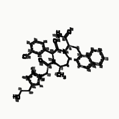 CC1CCN(C(Cc2cccc3ccccc23)C(N)=O)C(=O)C(c2cccc(Cl)c2)N1C(=O)Cn1cc(CCO)nn1